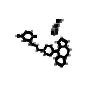 Cl.Cl.Cl.O.O.O=c1cc[nH]c(NCCN2CCC(=C3c4ccccc4CCn4ccnc43)CC2)n1